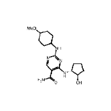 COC1CCC(Nc2ncc(C(N)=O)c(N[C@@H]3CCC[C@H]3O)n2)CC1